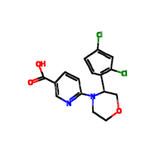 O=C(O)c1ccc(N2CCOCC2c2ccc(Cl)cc2Cl)nc1